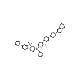 CC1(C)c2cc(-c3ccccc3)ccc2-c2ccc(N(c3ccccc3)c3ccc4c(c3)C(C)(C)c3cc(-c5ccc(-c6ccc7ccccc7c6)cc5)ccc3-4)cc21